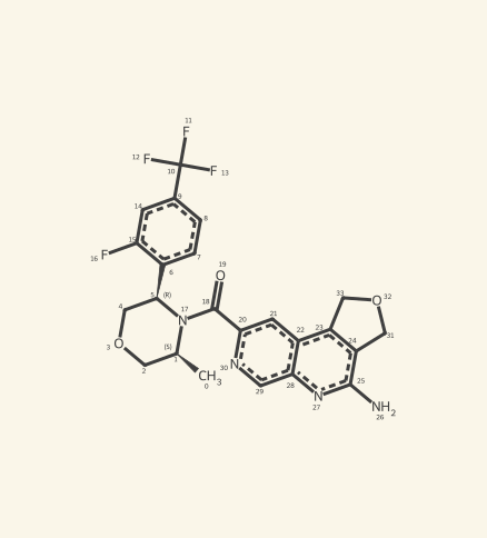 C[C@H]1COC[C@@H](c2ccc(C(F)(F)F)cc2F)N1C(=O)c1cc2c3c(c(N)nc2cn1)COC3